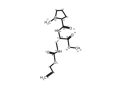 C=CCOC(=O)NC[C@H](NC(=O)C1CCCN1C)C(=O)OC